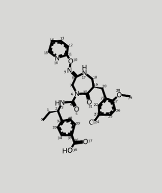 CC[C@@H](NC(=O)N1C/C(=N/Oc2ccccn2)NC[C@@H](Cc2cc(Cl)ccc2OC)C1=O)c1ccc(C(=O)O)cc1